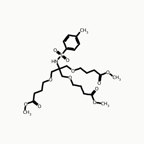 COC(=O)CCCOCC(COCCCC(=O)OC)(COCCCC(=O)OC)NS(=O)(=O)c1ccc(C)cc1